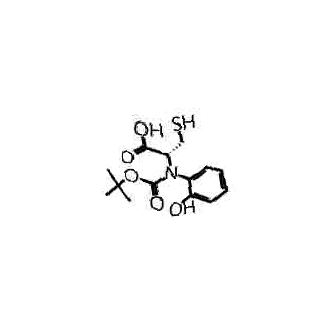 CC(C)(C)OC(=O)N(c1ccccc1O)[C@@H](CS)C(=O)O